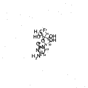 C[C@H](O)[C@](CO)(CF)O[C@H](CO)n1ccc(N)nc1=O